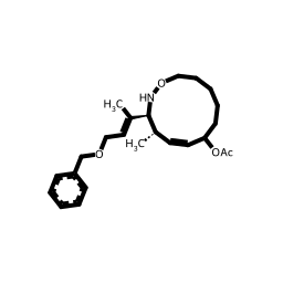 CC(=O)OC1C=C[C@H](C)[C@@H](C(C)=CCOCc2ccccc2)NOCCCCC1